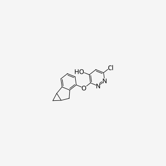 Oc1cc(Cl)nnc1Oc1cccc2c1CC1CC21